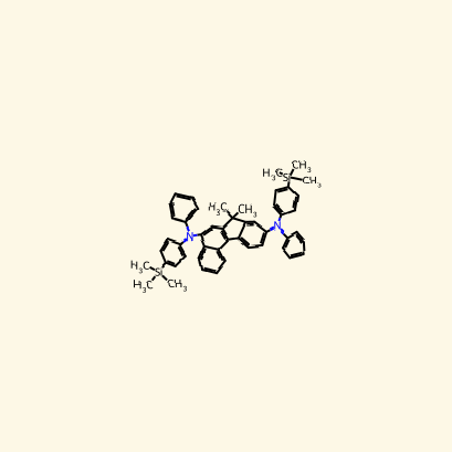 CC1(C)c2cc(N(c3ccccc3)c3ccc([Si](C)(C)C)cc3)ccc2-c2c1cc(N(c1ccccc1)c1ccc([Si](C)(C)C)cc1)c1ccccc21